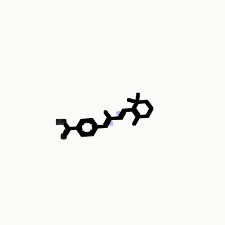 CC1=C(/C=C/C(C)=C/c2ccc(C(=O)O)cc2)C(C)(C)CCC1